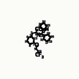 O=C(O)C(Cc1cccc(OCCC(F)(F)F)c1)N=C(c1ccccc1)c1ccccc1